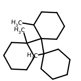 CC1CCCCC1(C1(C)CCCCC1)C1(C)CCCCC1